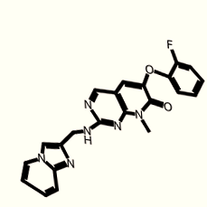 Cn1c(=O)c(Oc2ccccc2F)cc2cnc(NCc3cn4ccccc4n3)nc21